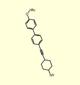 CCCCOc1ccc(-c2ccc(C#CC3CCC(CCC)CC3)cc2)cc1